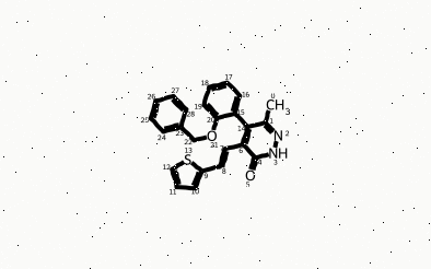 Cc1n[nH]c(=O)c(C=Cc2cccs2)c1-c1ccccc1OCc1ccccc1